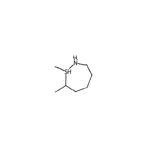 CC1CCCCN[SH]1C